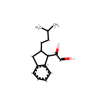 CC(C)CCC1Cc2ccccc2C1C(=O)C=O